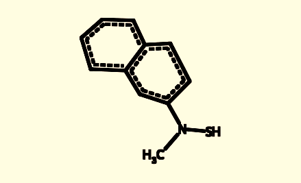 CN(S)c1ccc2ccccc2c1